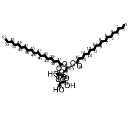 CCCCCCCCCCCCCCCCCC(=O)OC[C@H](COP(=O)(O)OC(CO)C(=O)O)OC(=O)CCCCCCCCCCCCCCCCC